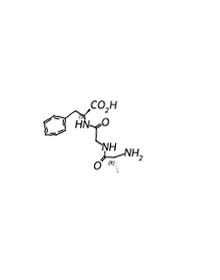 C[C@@H](N)C(=O)NCC(=O)N[C@@H](Cc1ccccc1)C(=O)O